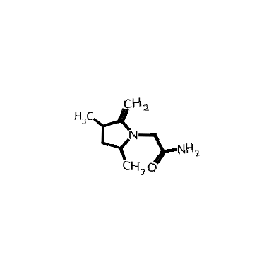 C=C1C(C)CC(C)N1CC(N)=O